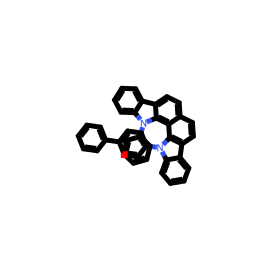 c1ccc(-c2ccc(-n3c4ccccc4c4ccc5ccc6c7ccccc7n(-c7ccccc7)c6c5c43)cc2)cc1